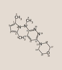 Cc1ccc(C)n1N(C)c1ccc(N2CCOCC2)nn1